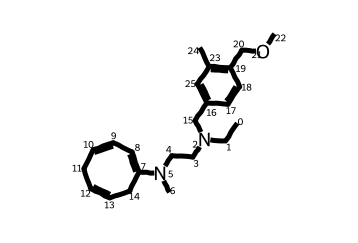 CCN(CCN(C)/C1=C/C=C\C/C=C\C1)Cc1ccc(COC)c(C)c1